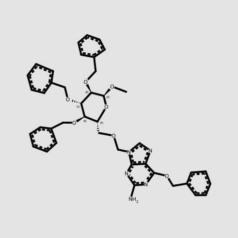 CO[C@H]1O[C@H](COCn2cnc3c(OCc4ccccc4)nc(N)nc32)[C@@H](OCc2ccccc2)[C@H](OCc2ccccc2)[C@H]1OCc1ccccc1